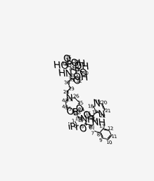 CC(C)C[C@@H](NC(=O)[C@@H](Cc1ccccc1)NC(=O)c1cnccn1)B1OCCN(CCCC(=O)NC(P(=O)(O)O)P(=O)(O)O)CCO1